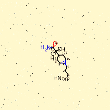 CCCCCCCCCCCCN1CCC(C(C)(C)C(N)=O)CC1